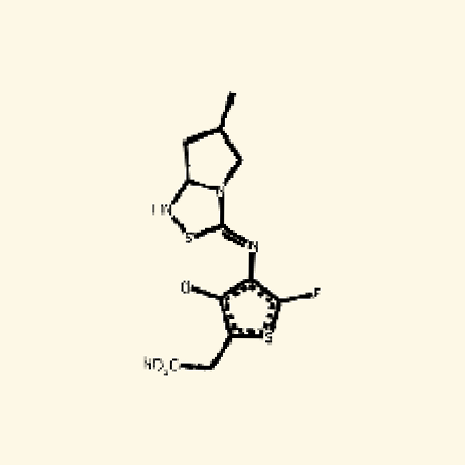 CC1CC2NSC(=Nc3c(F)sc(CC(=O)O)c3Cl)N2C1